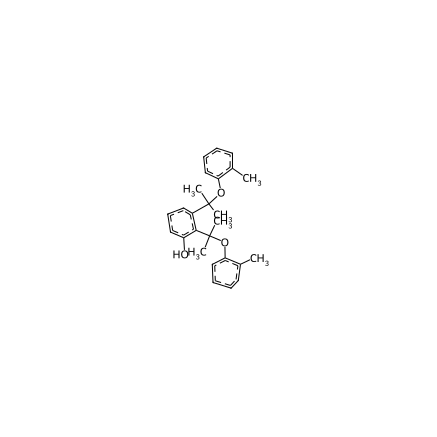 Cc1ccccc1OC(C)(C)c1cccc(O)c1C(C)(C)Oc1ccccc1C